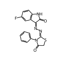 O=C1Nc2ccc(F)cc2C1=NN=C1SCC(=O)N1c1ccccc1